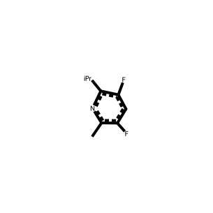 Cc1nc(C(C)C)c(F)cc1F